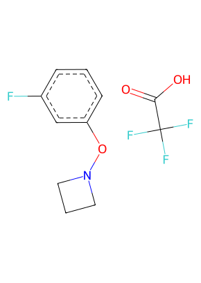 Fc1cccc(ON2CCC2)c1.O=C(O)C(F)(F)F